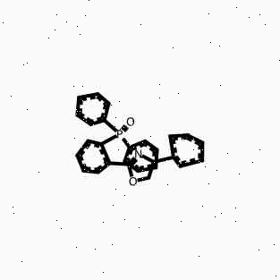 O=P(c1ccccc1)(c1ccccc1)c1ccccc1C1=NC(c2ccccc2)CO1